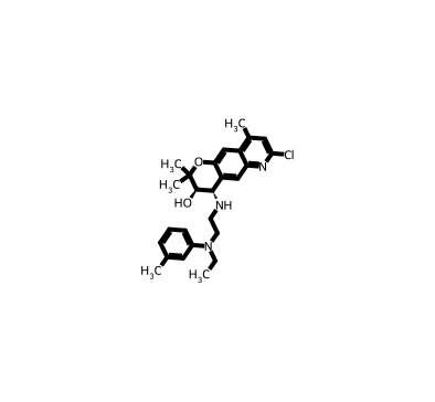 CCN(CCN[C@H]1c2cc3nc(Cl)cc(C)c3cc2OC(C)(C)[C@@H]1O)c1cccc(C)c1